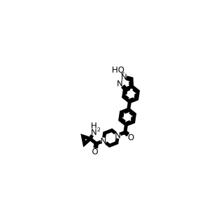 NC1(C(=O)N2CCN(C(=O)c3ccc(-c4ccc5cn(O)nc5c4)cc3)CC2)CC1